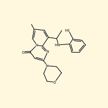 Cc1cc(C(C)Nc2ccccc2S)c2nc(N3CCOCC3)cc(=O)n2c1